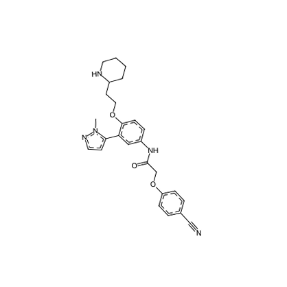 Cn1nccc1-c1cc(NC(=O)COc2ccc(C#N)cc2)ccc1OCCC1CCCCN1